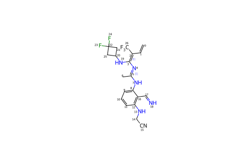 C=C/C(=C(\N=C(/C)Nc1cccc(NCC#N)c1C=N)NC1CC(F)(F)C1)C(F)(F)F